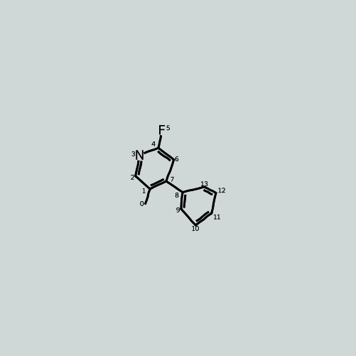 Cc1cnc(F)cc1-c1ccccc1